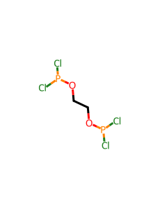 ClP(Cl)OCCOP(Cl)Cl